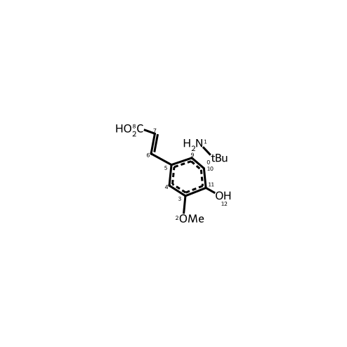 CC(C)(C)N.COc1cc(C=CC(=O)O)ccc1O